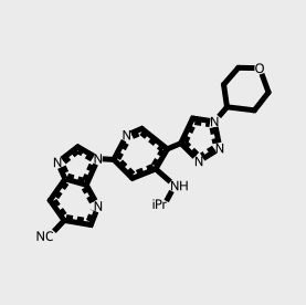 CC(C)Nc1cc(-n2cnc3cc(C#N)cnc32)ncc1-c1cn(C2CCOCC2)nn1